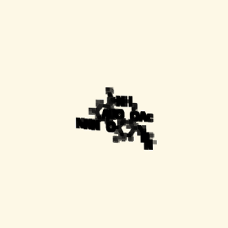 CC(=O)O[C@H]1C(N=[N+]=[N-])C[C@H](C)C(O[C@H]2OC([C@@H](C)N)CCC2N=[N+]=[N-])[C@@H]1OC(C)=O